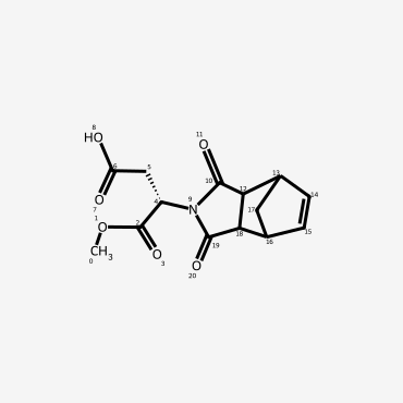 COC(=O)[C@H](CC(=O)O)N1C(=O)C2C3C=CC(C3)C2C1=O